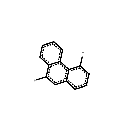 Fc1cc2c[c]cc(F)c2c2cc[c]cc12